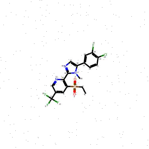 CCS(=O)(=O)c1cc(C(F)(F)F)cnc1-c1ncc(-c2ccc(Cl)c(F)c2)n1C